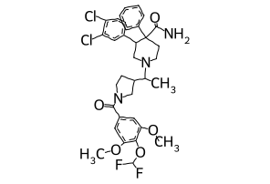 COc1cc(C(=O)N2CCC(C(C)N3CCC(C(N)=O)(c4ccccc4)C(c4ccc(Cl)c(Cl)c4)C3)C2)cc(OC)c1OC(F)F